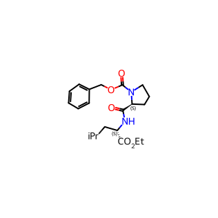 CCOC(=O)[C@H](CC(C)C)NC(=O)[C@@H]1CCCN1C(=O)OCc1ccccc1